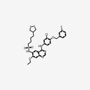 CCOc1cc2ncnc(Nc3ccc(OCc4cccc(F)c4)c(Cl)c3)c2cc1NS(=O)(=O)CCCCC1CSSC1